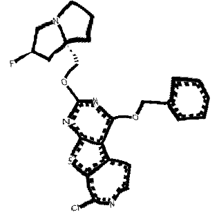 F[C@H]1CN2CCC[C@@]2(COc2nc(OCc3ccccc3)c3c(n2)sc2c(Cl)nccc23)C1